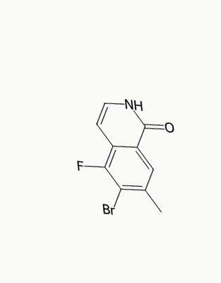 Cc1cc2c(=O)[nH]ccc2c(F)c1Br